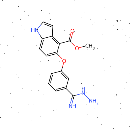 COC(=O)c1c(Oc2cccc(C(=N)NN)c2)ccc2[nH]ccc12